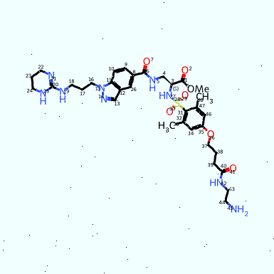 COC(=O)[C@H](CNC(=O)c1ccc2c(cnn2CCCNC2=NCCCN2)c1)NS(=O)(=O)c1c(C)cc(OCCCC(=O)NCCN)cc1C